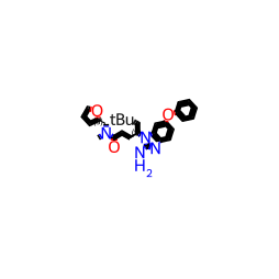 CN(C[C@@H]1CCCO1)C(=O)CC[C@@H](CC(C)(C)C)n1c(N)nc2ccc(Oc3ccccc3)cc21